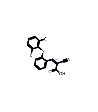 N#C/C(=C/c1ccccc1Nc1c(Cl)cccc1Cl)C(=O)O